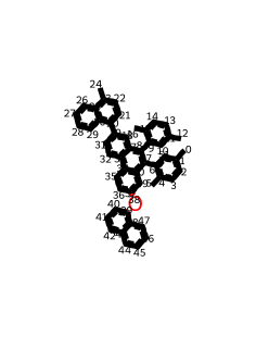 Cc1ccc(C)c(-c2c(-c3cc(C)ccc3C)c3cc(-c4ccc(C)c5ccccc45)ccc3c3ccc(Oc4cccc5ccccc45)cc23)c1